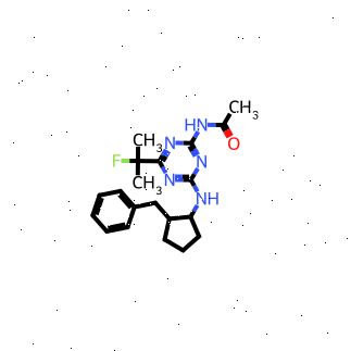 CC(=O)Nc1nc(NC2CCCC2Cc2ccccc2)nc(C(C)(C)F)n1